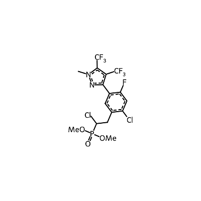 COP(=O)(OC)C(Cl)Cc1cc(-c2nn(C)c(C(F)(F)F)c2C(F)(F)F)c(F)cc1Cl